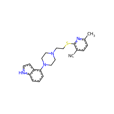 Cc1ccc(C#N)c(SCCN2CCN(c3cccc4[nH]ccc34)CC2)n1